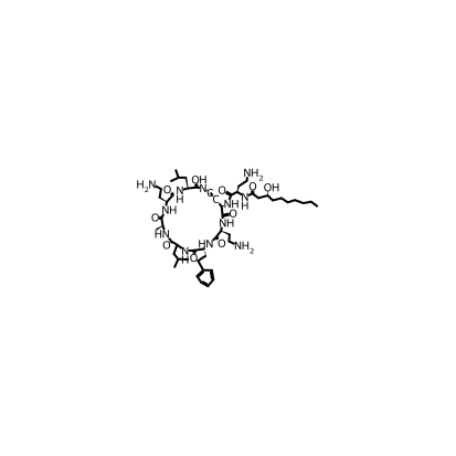 CCCCCCC[C@@H](O)CC(=O)N[C@H](CCN)C(=O)N[C@H]1CCNC(=O)[C@H](CC(C)C)NC(=O)[C@H](CCN)NC(=O)[C@H](C)NC(=O)C(CC(C)C)NC(=O)[C@@H](CCc2ccccc2)NC(=O)[C@H](CCN)NC1=O